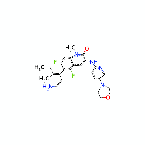 CC/C(C)=C(/C=C\N)c1c(F)cc2c(cc(Nc3ccc(N4CCOCC4)cn3)c(=O)n2C)c1F